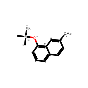 COc1ccc2cccc(O[Si](C)(C)C(C)(C)C)c2c1